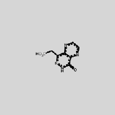 O=C(O)Cc1n[nH]c(=O)c2nccnc12